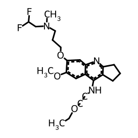 CCOCCNc1c2c(nc3cc(OCCCN(C)CC(F)F)c(OC)cc13)CCC2